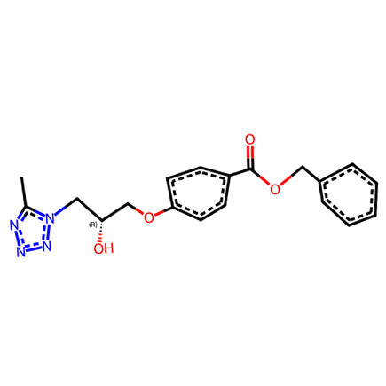 Cc1nnnn1C[C@@H](O)COc1ccc(C(=O)OCc2ccccc2)cc1